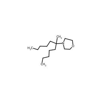 CCCCCC(C)(CCCCC)N1CCOCC1